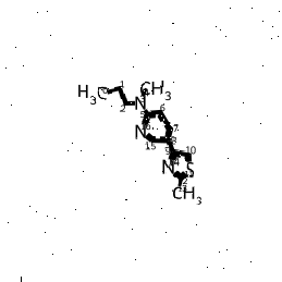 CCCN(C)c1ccc(-c2csc(C)n2)cn1